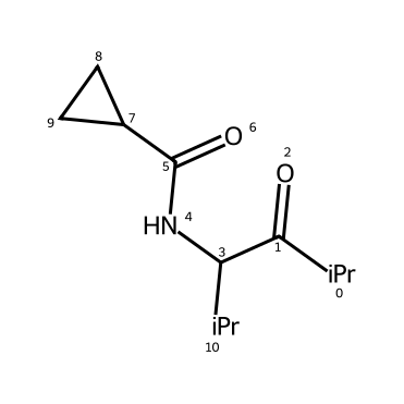 CC(C)C(=O)C(NC(=O)C1CC1)C(C)C